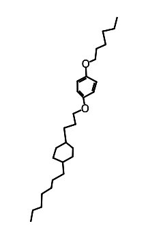 CCCCCCCC1CCC(CCCOc2ccc(OCCCCCC)cc2)CC1